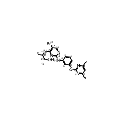 Cc1cc(C)nc(Sc2cccc(Nc3ncc(Br)c(NC(C)[C@@H](C)O)n3)c2)n1